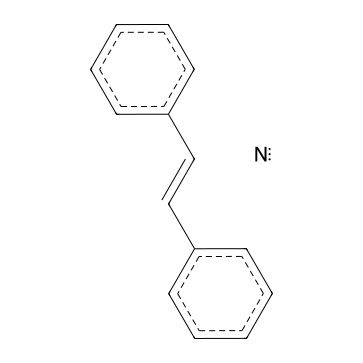 C(=Cc1ccccc1)c1ccccc1.[N]